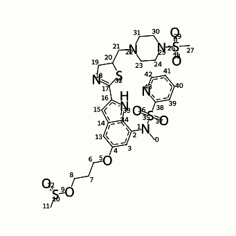 CN(c1cc(OCCCOS(C)=O)cc2cc(C3=NCC(CN4CCN(S(C)(=O)=O)CC4)S3)[nH]c12)S(=O)(=O)c1ccccn1